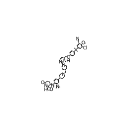 COc1c(Cl)cc(C(C)(C)c2ccc(OCC3C=CN=C(N4CCC(CN5CCC(c6ccc(N(C=O)C7CCC(=O)NC7=O)c(N(C)C)c6)CC5)CC4)N3)cc2)cc1C#N